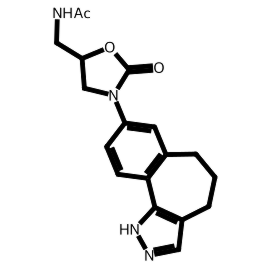 CC(=O)NCC1CN(c2ccc3c(c2)CCCc2cn[nH]c2-3)C(=O)O1